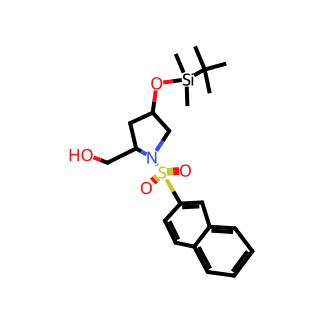 CC(C)(C)[Si](C)(C)OC1CC(CO)N(S(=O)(=O)c2ccc3ccccc3c2)C1